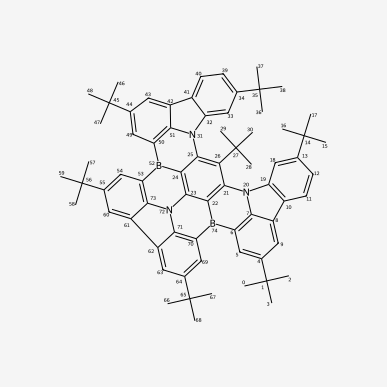 CC(C)(C)c1cc2c3c(c1)c1ccc(C(C)(C)C)cc1n3-c1c3c4c5c(c1C(C)(C)C)-n1c6cc(C(C)(C)C)ccc6c6cc(C(C)(C)C)cc(c61)B5c1cc(C(C)(C)C)cc5c6cc(C(C)(C)C)cc(c6n-4c15)B32